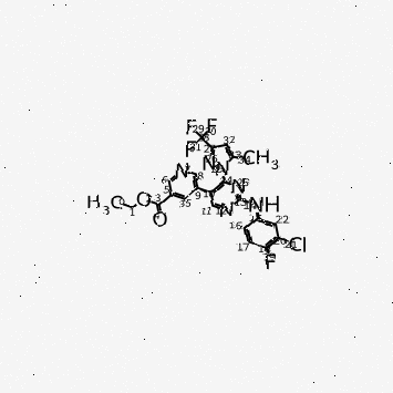 CCOC(=O)c1cncc(-c2cnc(Nc3ccc(F)c(Cl)c3)nc2-n2nc(C(F)(F)F)cc2C)c1